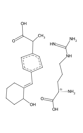 CC(C(=O)O)c1ccc(C=C2CCCCC2O)cc1.N=C(N)NCCC[C@H](N)C(=O)O